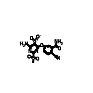 CS(=O)(=O)c1nc(N)c([N+](=O)[O-])c(Oc2ccc(C#N)c(C(N)=O)c2)n1